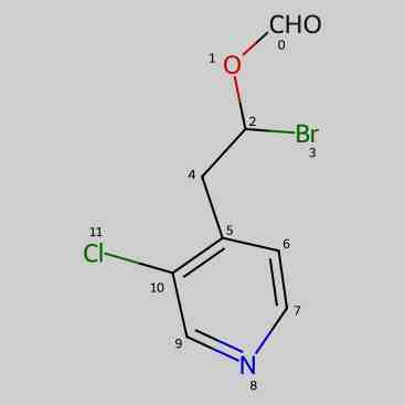 O=COC(Br)Cc1ccncc1Cl